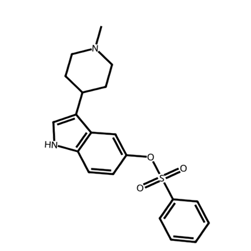 CN1CCC(c2c[nH]c3ccc(OS(=O)(=O)c4ccccc4)cc23)CC1